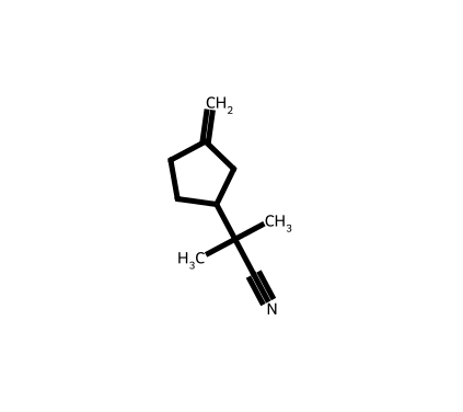 C=C1CCC(C(C)(C)C#N)C1